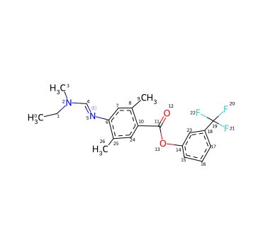 CCN(C)/C=N/c1cc(C)c(C(=O)Oc2cccc(C(F)(F)F)c2)cc1C